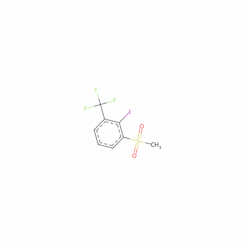 CS(=O)(=O)c1cccc(C(F)(F)F)c1I